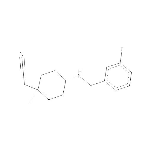 C[C@]1(CC#N)CC[C@H](NCc2cccc(F)c2)CC1